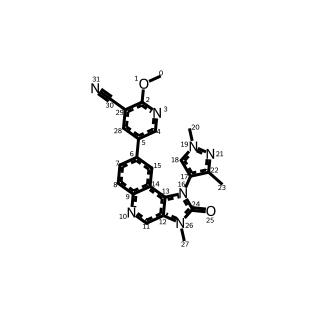 COc1ncc(-c2ccc3ncc4c(c3c2)n(-c2cn(C)nc2C)c(=O)n4C)cc1C#N